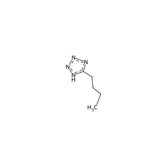 CCC[CH]c1nnn[nH]1